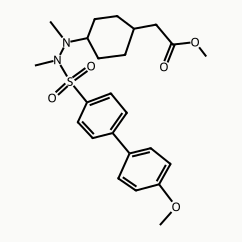 COC(=O)CC1CCC(N(C)N(C)S(=O)(=O)c2ccc(-c3ccc(OC)cc3)cc2)CC1